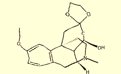 COc1ccc2c(c1)[C@]13CCN(C)[C@H](C2)C1[C@H](O)CC1(C3)OCCO1